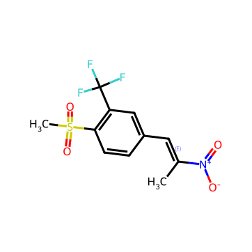 C/C(=C\c1ccc(S(C)(=O)=O)c(C(F)(F)F)c1)[N+](=O)[O-]